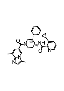 Cc1cc(C(=O)N2CC[C@@H](NC(=O)c3ncccc3C3CC3)[C@@H](c3ccccc3)C2)cn2c(C)cnc12